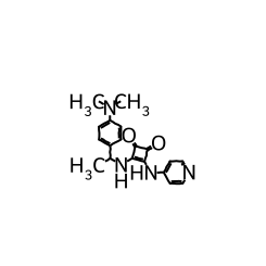 CC(Nc1c(Nc2ccncc2)c(=O)c1=O)c1ccc(N(C)C)cc1